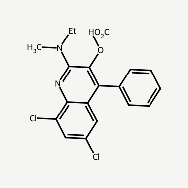 CCN(C)c1nc2c(Cl)cc(Cl)cc2c(-c2ccccc2)c1OC(=O)O